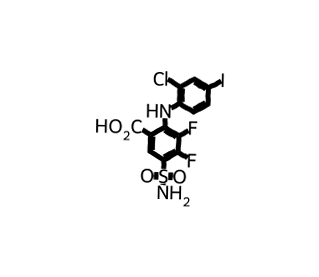 NS(=O)(=O)c1cc(C(=O)O)c(Nc2ccc(I)cc2Cl)c(F)c1F